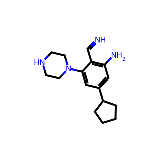 N=Cc1c(N)cc(C2CCCC2)cc1N1CCNCC1